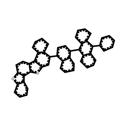 c1ccc(-c2c3ccccc3c(-c3ccc(-c4cc5oc6c(ccc7oc8ccccc8c76)c5c5ccccc45)c4ccccc34)c3ccccc23)cc1